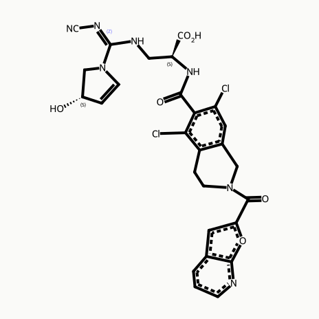 N#C/N=C(/NC[C@H](NC(=O)c1c(Cl)cc2c(c1Cl)CCN(C(=O)c1cc3cccnc3o1)C2)C(=O)O)N1C=C[C@H](O)C1